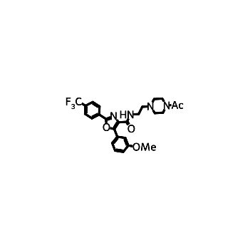 COc1cccc(-c2oc(-c3ccc(C(F)(F)F)cc3)nc2C(=O)NCCN2CCN(C(C)=O)CC2)c1